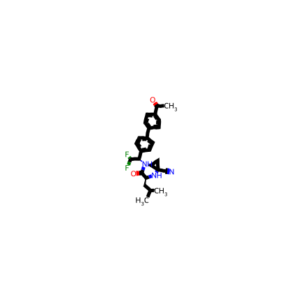 CC(=O)c1ccc(-c2ccc([C@H](NC(=O)[C@H](CC(C)C)NC3(C#N)CC3)C(F)F)cc2)cc1